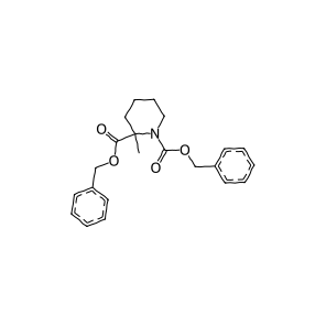 CC1(C(=O)OCc2ccccc2)CCCCN1C(=O)OCc1ccccc1